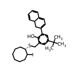 CC(C)(C)c1cc(CS[C@H]2CCCCCCC2I)c(O)c(C2=CC=C3C=CC=CC3C2)c1